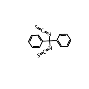 S=C=NC(N=C=S)(c1ccccc1)c1ccccc1